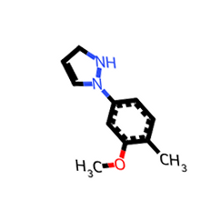 COc1cc(N2C=CCN2)ccc1C